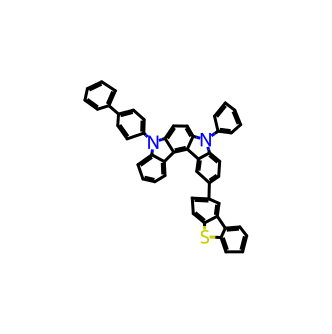 c1ccc(-c2ccc(-n3c4ccccc4c4c5c6cc(-c7ccc8sc9ccccc9c8c7)ccc6n(-c6ccccc6)c5ccc43)cc2)cc1